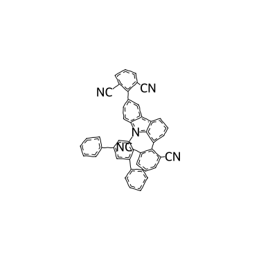 N#Cc1cccc(C#N)c1-c1ccc2c(c1)c1cccc(-c3c(C#N)cccc3C#N)c1n2-c1cc(-c2ccccc2)cc(-c2ccccc2)c1